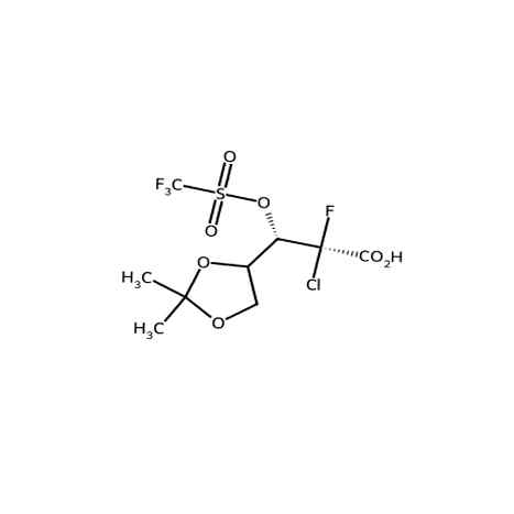 CC1(C)OCC([C@H](OS(=O)(=O)C(F)(F)F)[C@@](F)(Cl)C(=O)O)O1